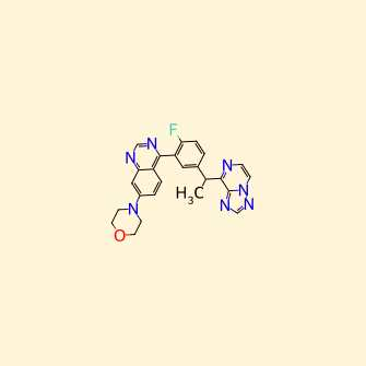 CC(c1ccc(F)c(-c2ncnc3cc(N4CCOCC4)ccc23)c1)c1nccn2ncnc12